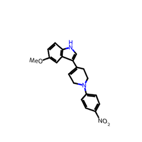 COc1ccc2[nH]cc(C3=CCN(c4ccc([N+](=O)[O-])cc4)CC3)c2c1